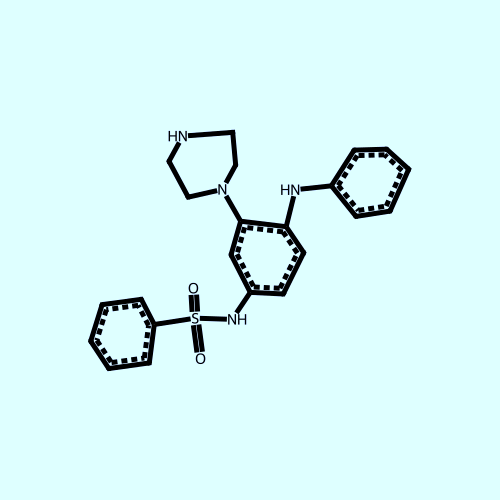 O=S(=O)(Nc1ccc(Nc2ccccc2)c(N2CCNCC2)c1)c1ccccc1